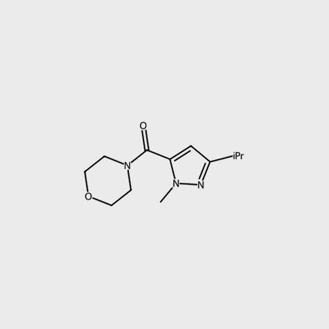 CC(C)c1cc(C(=O)N2CCOCC2)n(C)n1